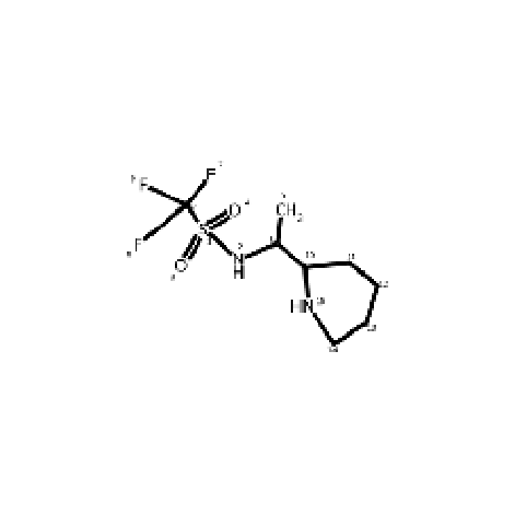 CC(NS(=O)(=O)C(F)(F)F)C1CCCCN1